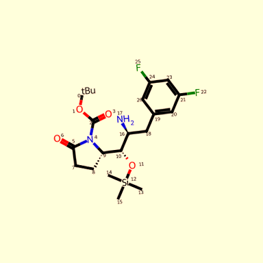 CC(C)(C)OC(=O)N1C(=O)CC[C@H]1[C@@H](O[Si](C)(C)C)[C@@H](N)Cc1cc(F)cc(F)c1